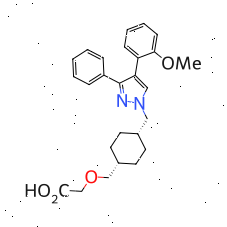 COc1ccccc1-c1cn(C[C@H]2CC[C@@H](COCC(=O)O)CC2)nc1-c1ccccc1